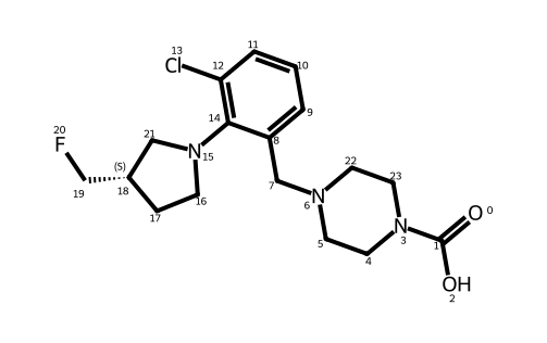 O=C(O)N1CCN(Cc2cccc(Cl)c2N2CC[C@H](CF)C2)CC1